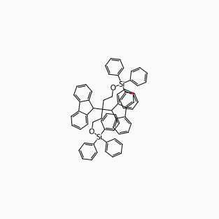 c1ccc([Si](OCCC(CCO[Si](c2ccccc2)(c2ccccc2)c2ccccc2)(C2c3ccccc3-c3ccccc32)C2c3ccccc3-c3ccccc32)(c2ccccc2)c2ccccc2)cc1